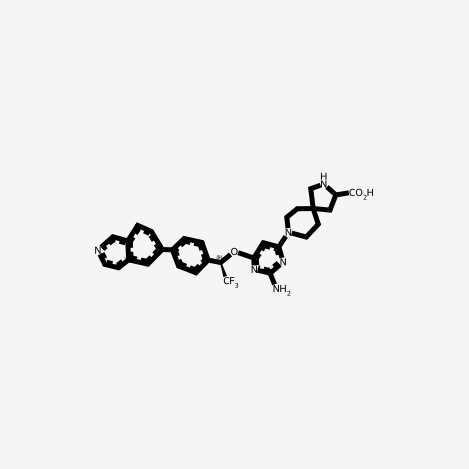 Nc1nc(O[C@H](c2ccc(-c3ccc4cnccc4c3)cc2)C(F)(F)F)cc(N2CCC3(CC2)CNC(C(=O)O)C3)n1